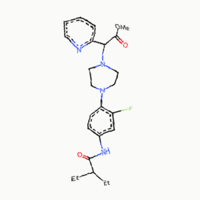 CCC(CC)C(=O)Nc1ccc(N2CCN(C(C(=O)OC)c3ccccn3)CC2)c(F)c1